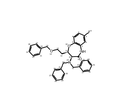 O=C1Nc2cc(F)ccc2O[C@H](CCOCc2ccccc2)[C@@H]1N(Cc1ccccc1)Cc1ccccc1